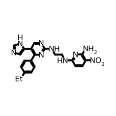 CCc1ccc(-c2nc(NCCNc3ccc([N+](=O)[O-])c(N)n3)ncc2-c2cnc[nH]2)cc1